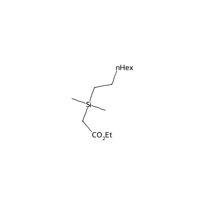 CCCCCCCC[Si](C)(C)CC(=O)OCC